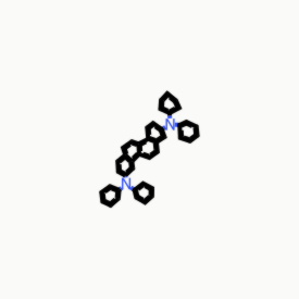 c1ccc(N(c2ccccc2)c2ccc3c(ccc4c5cc(N(c6ccccc6)c6ccccc6)ccc5ccc34)c2)cc1